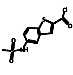 CS(=O)(=O)Nc1ccc2sc(C(=O)Cl)cc2c1